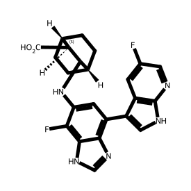 O=C(O)[C@@H]1C(Nc2cc(-c3c[nH]c4ncc(F)cc34)c3nc[nH]c3c2F)[C@H]2CC[C@@H]1CC2